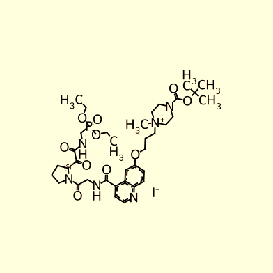 CCOP(=O)(CNC(=O)C(=O)[C@@H]1CCCN1C(=O)CNC(=O)c1ccnc2ccc(OCCC[N+]3(C)CCN(C(=O)OC(C)(C)C)CC3)cc12)OCC.[I-]